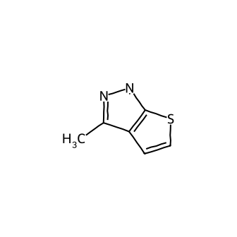 CC1=N[N]c2sccc21